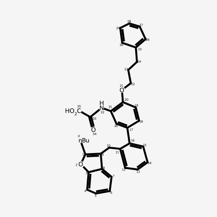 CCCCc1oc2ccccc2c1Cc1ccccc1-c1ccc(OCCCc2ccccc2)c(NC(=O)C(=O)O)c1